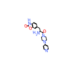 NC(Cc1ccc2[nH]c(=O)oc2c1)C(=O)N1CCN(c2ccncc2)CC1